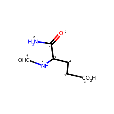 NC(=O)C(CCC(=O)O)NC=O